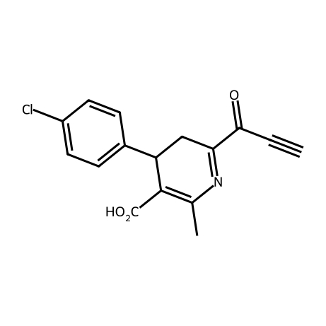 C#CC(=O)C1=NC(C)=C(C(=O)O)C(c2ccc(Cl)cc2)C1